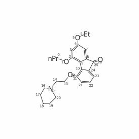 CCCOc1cc(OCC)cc2c1-c1c(OCCN3CCCCC3)cccc1C2=O